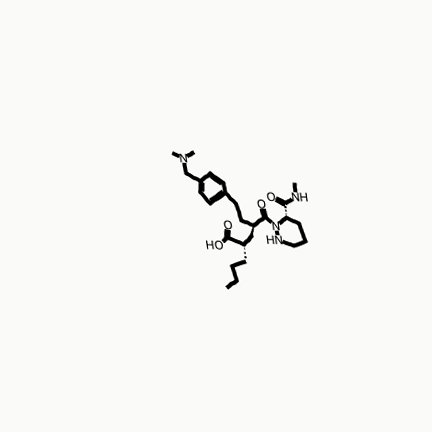 CCCC[C@@H](C[C@@H](CCc1ccc(CN(C)C)cc1)C(=O)N1NCCC[C@H]1C(=O)NC)C(=O)O